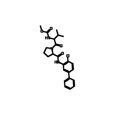 COC(=O)NC(C(=O)N1CCCC1C(=O)Nc1cc(-c2ccccc2)ccc1Cl)C(C)C